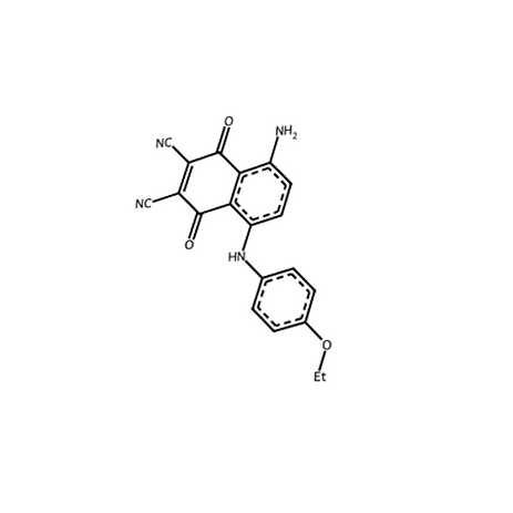 CCOc1ccc(Nc2ccc(N)c3c2C(=O)C(C#N)=C(C#N)C3=O)cc1